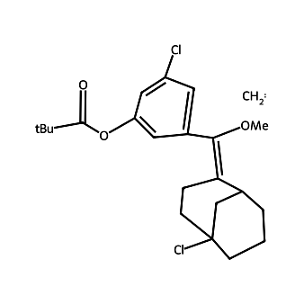 COC(=C1CCC2(Cl)CCCC1C2)c1cc(Cl)cc(OC(=O)C(C)(C)C)c1.[CH2]